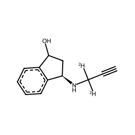 [2H]C([2H])(C#C)N[C@@H]1CC(O)c2ccccc21